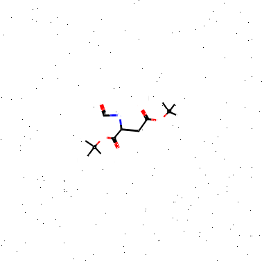 CC(C)(C)OC(=O)CC(NC=O)C(=O)OC(C)(C)C